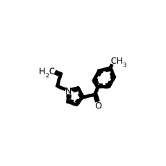 C=CCn1ccc(C(=O)c2ccc(C)cc2)c1